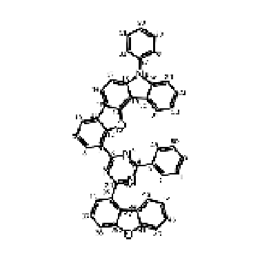 c1ccc(-c2nc(-c3cccc4c3oc3c4ccc4c3c3ccccc3n4-c3ccccc3)nc(-c3cccc4oc5ccccc5c34)n2)cc1